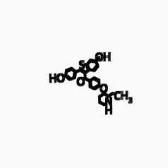 CCC1NCCCC1Oc1ccc(C(=O)c2c(-c3ccc(O)cc3)sc3cc(O)ccc23)cc1